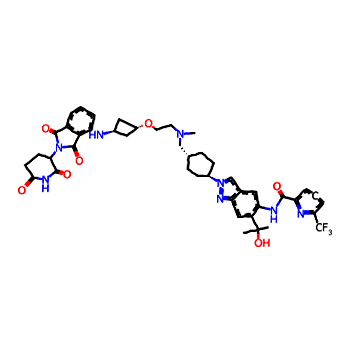 CN(CCO[C@H]1C[C@H](Nc2cccc3c2C(=O)N(C2CCC(=O)NC2=O)C3=O)C1)C[C@H]1CC[C@H](n2cc3cc(NC(=O)c4cccc(C(F)(F)F)n4)c(C(C)(C)O)cc3n2)CC1